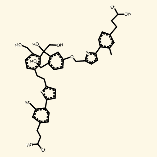 CCc1cc(CCC(O)CC)ccc1-c1ccc(CCc2ccc(CO)c(C(O)(CO)c3cc(OCc4ccc(-c5ccc(CCC(O)CC)cc5C)s4)ccc3CO)c2)s1